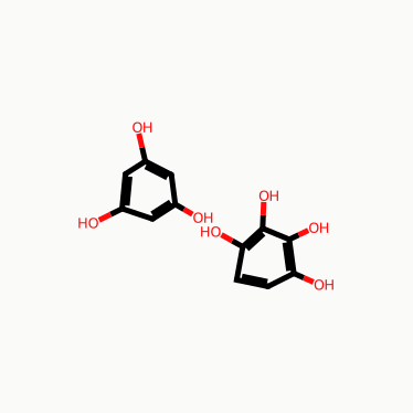 Oc1cc(O)cc(O)c1.Oc1ccc(O)c(O)c1O